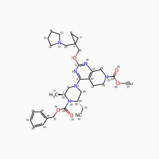 C[C@H]1CN(c2nc(OCC3(CN4CCCC4)CC3)nc3c2CCN(C(=O)OC(C)(C)C)C3)C[C@H](CC#N)N1C(=O)OCc1ccccc1